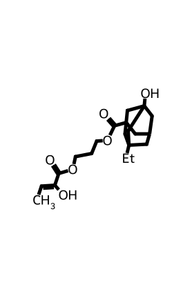 CC=C(O)C(=O)OCCCOC(=O)C12CC3CC(O)(CC(CC)(C3)C1)C2